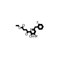 CCOC(=O)CCC(=O)c1nc(Cc2ccccc2F)cc(Br)c1O